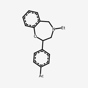 CCN1Cc2ccccc2OC(c2ccc(C(C)=O)cc2)C1